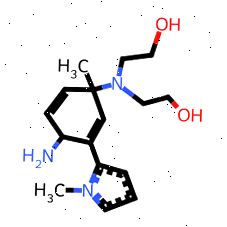 Cn1cccc1C1=CC(C)(N(CCO)CCO)C=CC1N